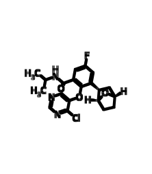 CC(C)NC(=O)c1cc(F)cc([C@H]2C[C@@H]3CC[C@H]2O3)c1Oc1cncnc1Cl